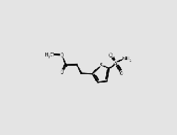 COC(=O)CCc1ccc(S(N)(=O)=O)s1